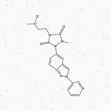 Cn1c(=O)n(CC[S+](C)[O-])c(=O)n1-c1ccc2nn(-c3cccnc3)cc2c1